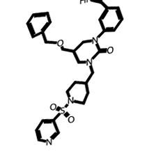 N=C(N)c1cccc(N2CC(COCc3ccccc3)CN(CC3CCN(S(=O)(=O)c4cccnc4)CC3)C2=O)c1